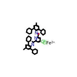 CC(=Nc1c(C2CCCCC2)cc(C)cc1C1CCCCC1)c1cccc(C(C)=Nc2c(C3CCCCC3)cc(C)cc2C2CCCCC2)n1.[Cl-].[Cl-].[Fe+2]